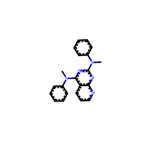 CN(c1ccccc1)c1nc(N(C)c2ccccc2)c2cccnc2n1